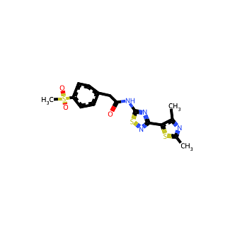 Cc1nc(C)c(-c2nsc(NC(=O)Cc3ccc(S(C)(=O)=O)cc3)n2)s1